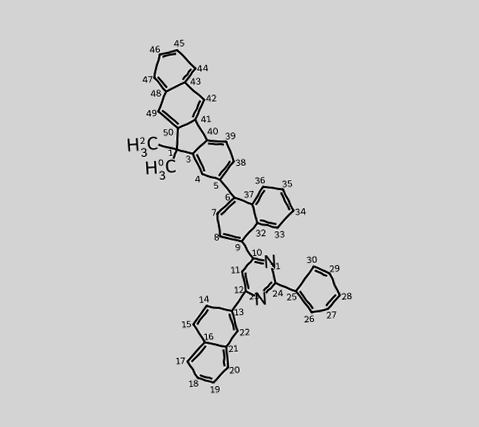 CC1(C)c2cc(-c3ccc(-c4cc(-c5ccc6ccccc6c5)nc(-c5ccccc5)n4)c4ccccc34)ccc2-c2cc3ccccc3cc21